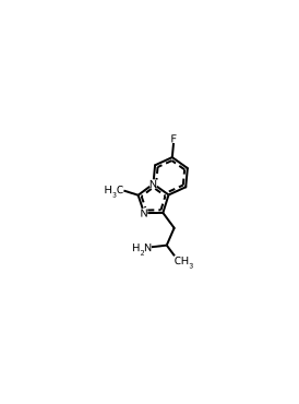 Cc1nc(CC(C)N)c2ccc(F)cn12